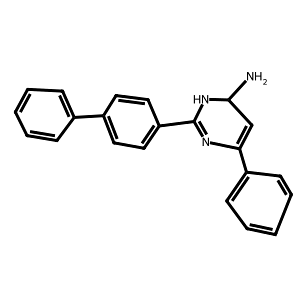 NC1C=C(c2ccccc2)N=C(c2ccc(-c3ccccc3)cc2)N1